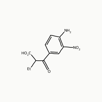 CCC(C(=O)O)C(=O)c1ccc(N)c([N+](=O)[O-])c1